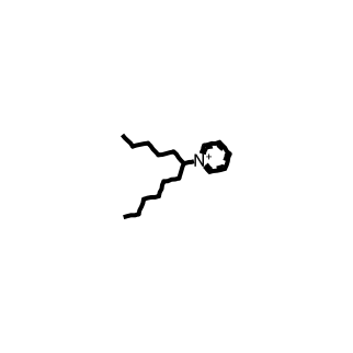 CCCCCCC(CCCCC)[n+]1ccccc1